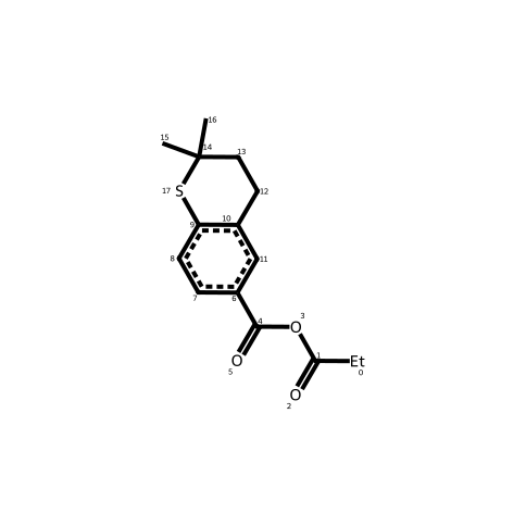 CCC(=O)OC(=O)c1ccc2c(c1)CCC(C)(C)S2